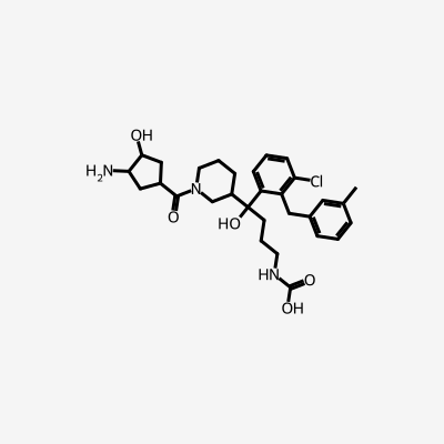 Cc1cccc(Cc2c(Cl)cccc2C(O)(CCCNC(=O)O)C2CCCN(C(=O)C3CC(N)C(O)C3)C2)c1